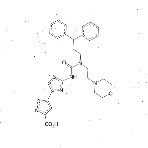 O=C(O)c1cc(-c2csc(NC(=O)N(CCC(c3ccccc3)c3ccccc3)CCN3CCOCC3)n2)on1